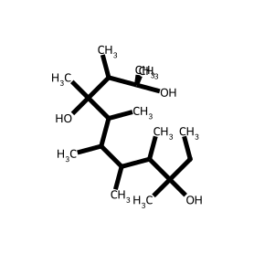 CCC(C)(O)C(C)C(C)C(C)C(C)C(C)(O)C(C)C(C)(C)O